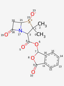 CC1(C)C(C(=O)OC2OC(=O)c3ccccc32)N2C(=O)CC2[S+]1[O-]